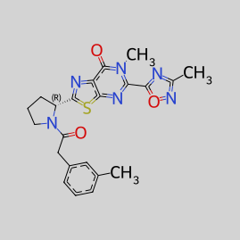 Cc1cccc(CC(=O)N2CCC[C@@H]2c2nc3c(=O)n(C)c(-c4nc(C)no4)nc3s2)c1